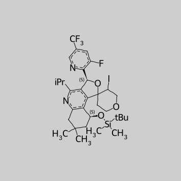 CC(C)c1nc2c(c3c1[C@@H](c1ncc(C(F)(F)F)cc1F)OC31CCOCC1I)[C@@H](O[Si](C)(C)C(C)(C)C)CC(C)(C)C2